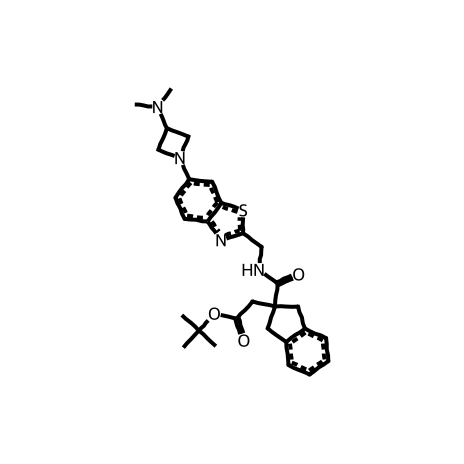 CN(C)C1CN(c2ccc3nc(CNC(=O)C4(CC(=O)OC(C)(C)C)Cc5ccccc5C4)sc3c2)C1